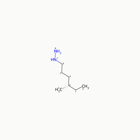 CC[C@H](C)CCCNN